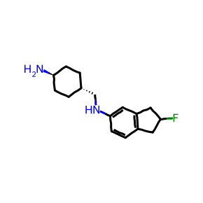 N[C@H]1CC[C@H](CNc2ccc3c(c2)CC(F)C3)CC1